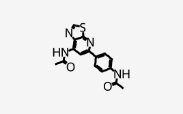 CC(=O)Nc1ccc(-c2cc(NC(C)=O)c3ncsc3n2)cc1